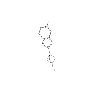 Cl.NC12CC(c3nc4cc(C(F)(F)F)ccc4o3)(C1)C2